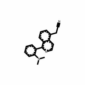 CN(C)c1ccccc1-c1nccc2c(CC#N)cccc12